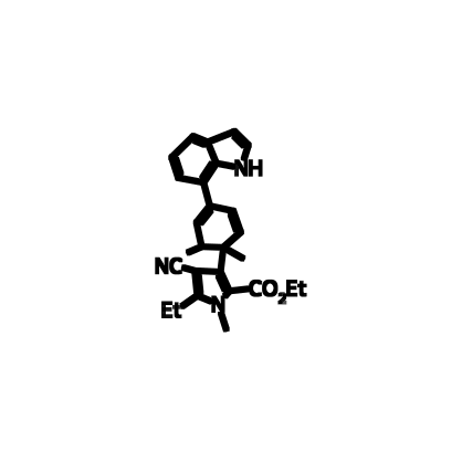 CCOC(=O)c1c(C2(C)C=CC(c3cccc4cc[nH]c34)=CC2C)c(C#N)c(CC)n1C